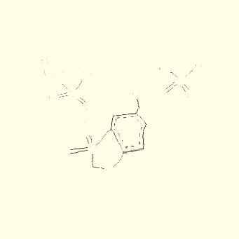 O=S(=O)([O-])C(F)(F)F.O=S(=O)([O-])C(F)(F)F.O=S1(=O)COc2ccc([O-])cc21.[Al+3]